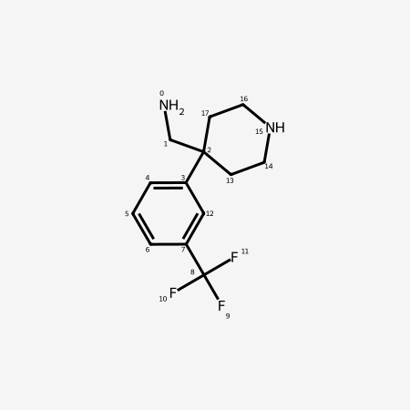 NCC1(c2cccc(C(F)(F)F)c2)CCNCC1